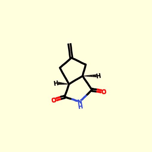 C=C1C[C@@H]2C(=O)NC(=O)[C@@H]2C1